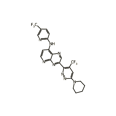 FC(F)(F)c1ccc(Nc2ccnc3nc(-c4nnc(N5CCCCC5)cc4C(F)(F)F)cnc23)nc1